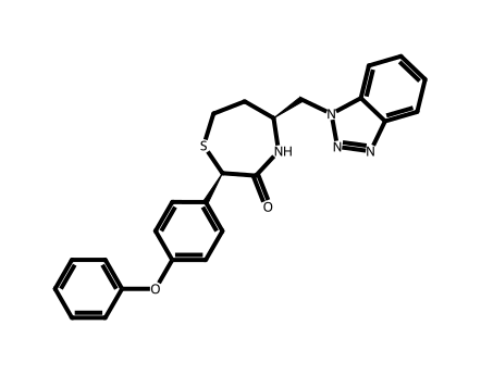 O=C1N[C@H](Cn2nnc3ccccc32)CCS[C@@H]1c1ccc(Oc2ccccc2)cc1